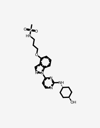 CS(=O)(=O)NCCCOc1cccc2c1cnn2-c1ccnc(N[C@H]2CC[C@H](O)CC2)n1